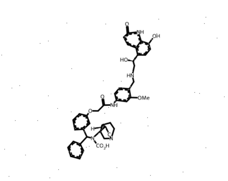 COc1cc(NC(=O)COc2cccc(C(c3ccccc3)N(C(=O)O)[C@H]3CN4CCC3CC4)c2)ccc1CNC[C@@H](O)c1ccc(O)c2[nH]c(=O)ccc12